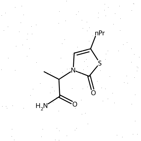 CCCc1cn(C(C)C(N)=O)c(=O)s1